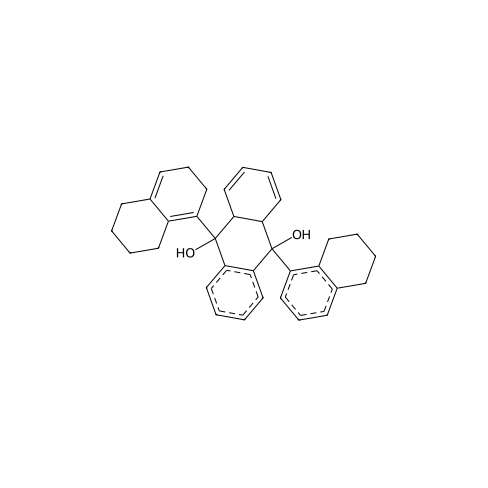 OC1(C2=C3CCCCC3=CCC2)c2ccccc2C(O)(c2cccc3c2CCCC3)C2C=CC=CC21